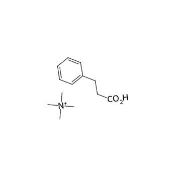 C[N+](C)(C)C.O=C(O)CCc1ccccc1